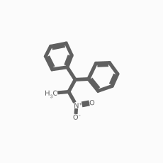 CC(C(c1ccccc1)c1ccccc1)[N+](=O)[O-]